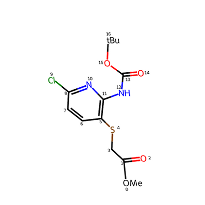 COC(=O)CSc1ccc(Cl)nc1NC(=O)OC(C)(C)C